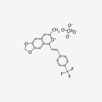 Cc1cc2cc3c(cc2c(C=Cc2ccc(C(F)(F)F)cc2)[o+]1)OCO3.[O-][Cl+3]([O-])([O-])[O-]